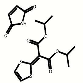 CC(C)OC(=O)C(C(=O)OC(C)C)=C1SC=CS1.O=C1C=CC(=O)N1